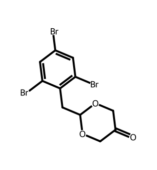 O=C1COC(Cc2c(Br)cc(Br)cc2Br)OC1